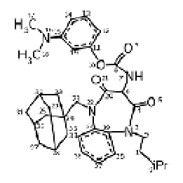 CC(C)CCN1C(=O)C(NC(=O)Oc2cccc(N(C)C)c2)C(=O)N(CC23CC4CC(CC(C4)C2)C3)c2ccccc21